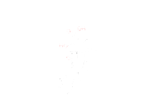 CC1=CC(C(=O)O)(c2ccc(Cc3ccccc3)cc2)CC(C(=O)O)=C1